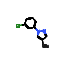 CC(C)(C)c1cnn(-c2cccc(Cl)c2)c1